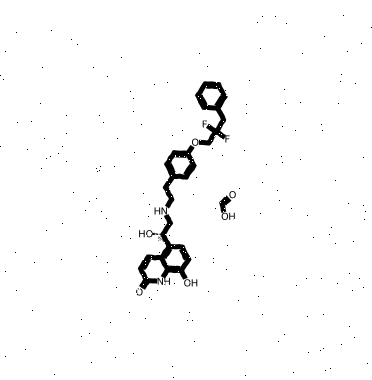 O=CO.O=c1ccc2c([C@H](O)CNCCc3ccc(OCC(F)(F)Cc4ccccc4)cc3)ccc(O)c2[nH]1